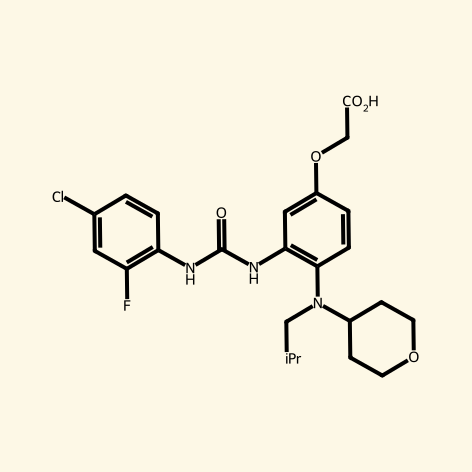 CC(C)CN(c1ccc(OCC(=O)O)cc1NC(=O)Nc1ccc(Cl)cc1F)C1CCOCC1